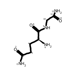 NC(=O)CC[C@H](N)C(=O)NCC(N)=O